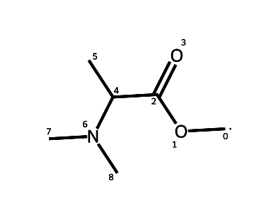 [CH2]OC(=O)C(C)N(C)C